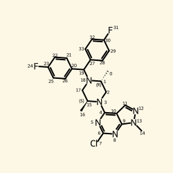 C[C@@H]1CN(c2nc(Cl)nc3c2cnn3C)[C@@H](C)CN1C(c1ccc(F)cc1)c1ccc(F)cc1